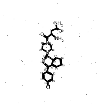 NC(=O)CC(N)C(=O)N1CCN(c2nnc(-c3ccc(Cl)cc3)c3ccccc23)CC1